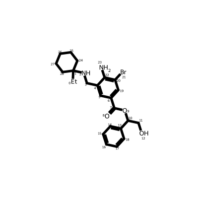 CCC1(NCc2cc(C(=O)OC(CO)c3ccccc3)cc(Br)c2N)CCCCC1